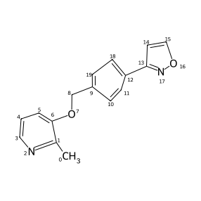 Cc1ncccc1OCc1ccc(-c2ccon2)cc1